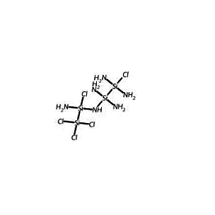 N[Si](N)(Cl)[Si](N)(N)N[Si](N)(Cl)[Si](Cl)(Cl)Cl